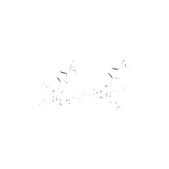 O=[N+]([O-])c1ccc(COP(=O)(NCCCCNP(=O)(OCc2ccc([N+](=O)[O-])o2)N(CCCl)CCCl)N(CCCl)CCCl)o1